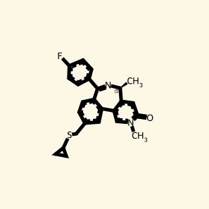 C[C@@H]1N=C(c2ccc(F)cc2)c2ccc(CSC3CC3)cc2-c2cn(C)c(=O)cc21